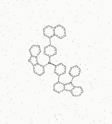 c1ccc(-n2c3ccccc3c3cccc(-c4cccc(N(c5ccc(-c6cccc7ccccc67)cc5)c5cccc6oc7ccccc7c56)c4)c32)cc1